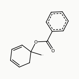 [CH2]C1(OC(=O)c2ccccc2)C=CC=CC1